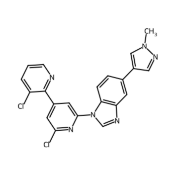 Cn1cc(-c2ccc3c(c2)ncn3-c2cc(-c3ncccc3Cl)cc(Cl)n2)cn1